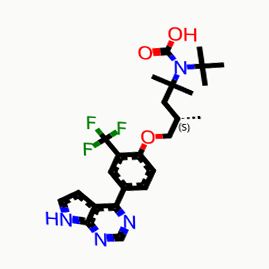 C[C@H](COc1ccc(-c2ncnc3[nH]ccc23)cc1C(F)(F)F)CC(C)(C)N(C(=O)O)C(C)(C)C